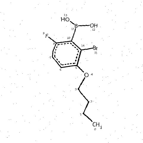 CCCCOc1ccc(F)c(B(O)O)c1Br